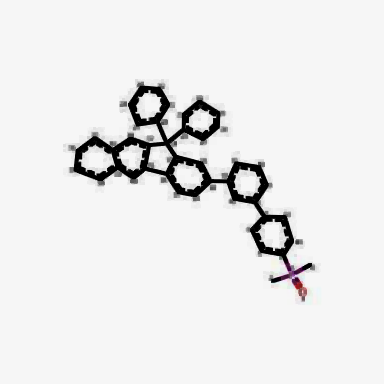 CP(C)(=O)c1ccc(-c2cccc(-c3ccc4c(c3)C(c3ccccc3)(c3ccccc3)c3cc5ccccc5cc3-4)c2)cc1